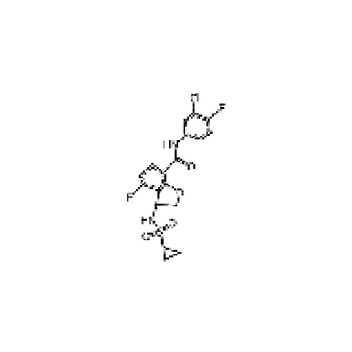 O=C(Nc1ccc(F)c(Cl)c1)c1ccc(F)c2c1OCC2NS(=O)(=O)C1CC1